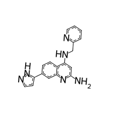 Nc1cc(NCc2ccccn2)c2ccc(-c3ccn[nH]3)cc2n1